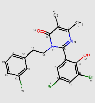 CCc1c(C)nc(-c2cc(Br)cc(Br)c2O)n(CCc2cccc(F)c2)c1=O